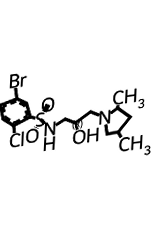 CC1CC(C)N(C[C@@H](O)CNS(=O)(=O)c2cc(Br)ccc2Cl)C1